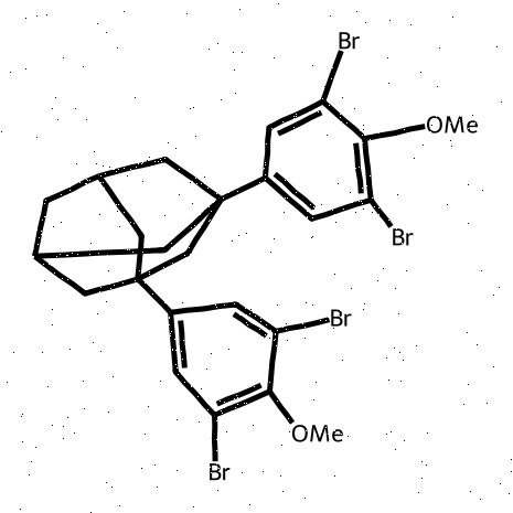 COc1c(Br)cc(C23CC4CC(C2)CC(c2cc(Br)c(OC)c(Br)c2)(C4)C3)cc1Br